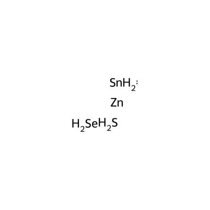 S.[SeH2].[SnH2].[Zn]